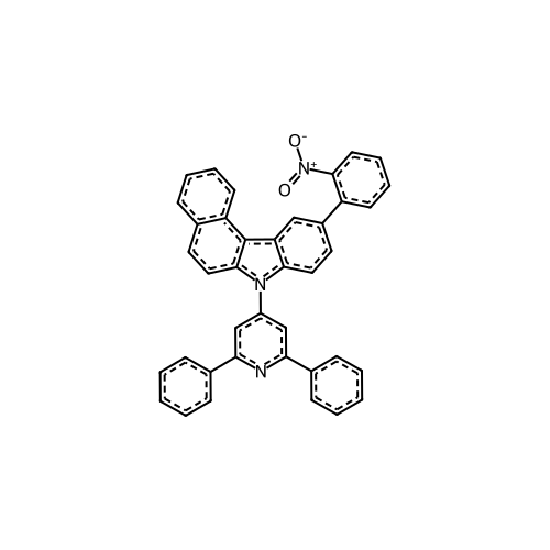 O=[N+]([O-])c1ccccc1-c1ccc2c(c1)c1c3ccccc3ccc1n2-c1cc(-c2ccccc2)nc(-c2ccccc2)c1